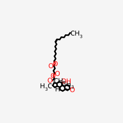 CCCCCCC/C=C\CCCCCCCCOC(=O)CCC(=O)OCC(=O)[C@H]1[C@H](C)CC2[C@@H]3CCC4=CC(=O)C=C[C@]4(C)C3[C@@H](O)C[C@@]21C